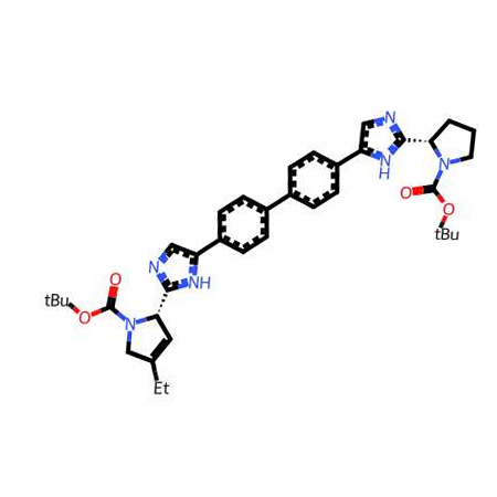 CCC1=C[C@@H](c2ncc(-c3ccc(-c4ccc(-c5cnc([C@@H]6CCCN6C(=O)OC(C)(C)C)[nH]5)cc4)cc3)[nH]2)N(C(=O)OC(C)(C)C)C1